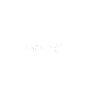 CC1(C)Oc2cccc(CN3CCC4(CC3)CCN(C(=O)c3ccncc3N)CC4)c2O1